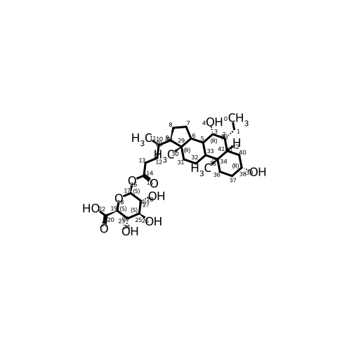 CC[C@H]1[C@@H](O)C2C3CC[C@H]([C@H](C)CCC(=O)O[C@@H]4O[C@H](C(=O)O)[C@@H](O)[C@H](O)[C@H]4O)[C@@]3(C)CCC2[C@@]2(C)CC[C@@H](O)C[C@@H]12